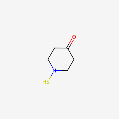 O=C1CCN(S)CC1